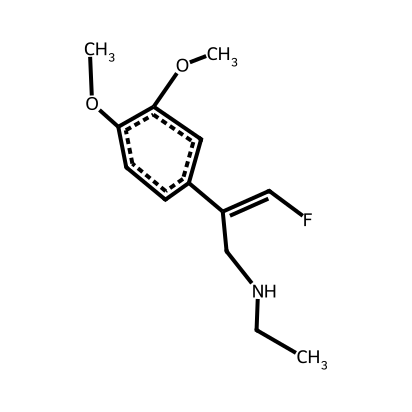 CCNCC(=CF)c1ccc(OC)c(OC)c1